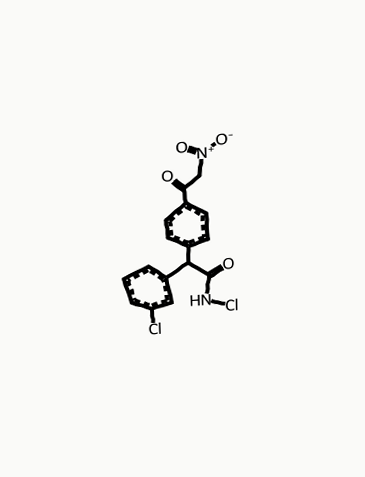 O=C(C[N+](=O)[O-])c1ccc(C(C(=O)NCl)c2cccc(Cl)c2)cc1